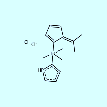 CC(C)=C1C=CC=[C]1[Ti+2]([CH3])([CH3])([CH3])[c]1ccc[pH]1.[Cl-].[Cl-]